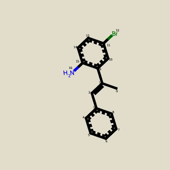 C/C(=C\c1ccccc1)c1cc(Br)ccc1N